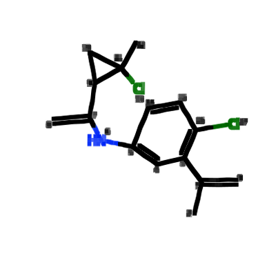 C=C(C)c1cc(NC(=C)C2CC2(C)Cl)ccc1Cl